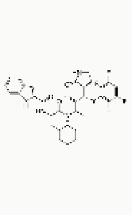 CC(NC(=O)[C@H](CC1CCCCC1)NC(=O)c1cc2ccccc2[nH]1)C(=O)[C@@H](Oc1c(F)c(F)cc(F)c1F)[C@@H]1CCNC1=O